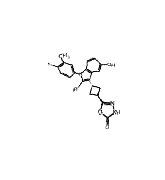 Cc1cc(-n2c(C(C)C)c([C@H]3C[C@H](c4n[nH]c(=O)o4)C3)c3cc(O)ccc32)ccc1F